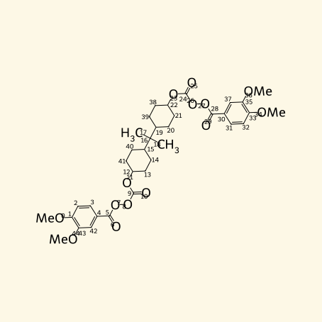 COc1ccc(C(=O)OOC(=O)OC2CCC(C(C)(C)C3CCC(OC(=O)OOC(=O)c4ccc(OC)c(OC)c4)CC3)CC2)cc1OC